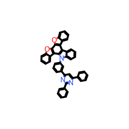 c1ccc(-c2cc(-c3cccc(-n4c5ccccc5c5c6c7ccccc7oc6c6oc7ccccc7c6c54)c3)nc(-c3ccccc3)n2)cc1